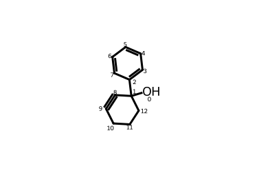 OC1(c2ccccc2)C#CCCC1